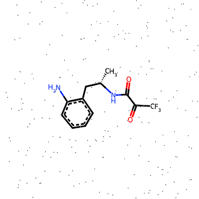 C[C@@H](Cc1ccccc1N)NC(=O)C(=O)C(F)(F)F